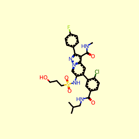 CNC(=O)c1c(-c2ccc(F)cc2)nn2cc(NS(=O)(=O)CCCO)c(-c3cc(C(=O)NCC(C)C)ccc3Cl)cc12